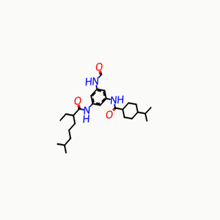 CCC(CCCC(C)C)C(=O)Nc1cc(NC=O)cc(NC(=O)C2CCC(C(C)C)CC2)c1